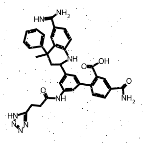 CC1(c2ccccc2)CC(c2cc(NC(=O)CCc3nnn[nH]3)cc(-c3ccc(C(N)=O)cc3C(=O)O)c2)Nc2ccc(C(=N)N)cc21